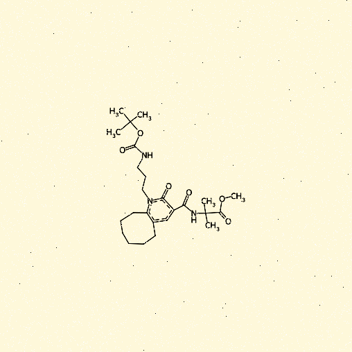 COC(=O)C(C)(C)NC(=O)c1cc2c(n(CCCNC(=O)OC(C)(C)C)c1=O)CCCCCC2